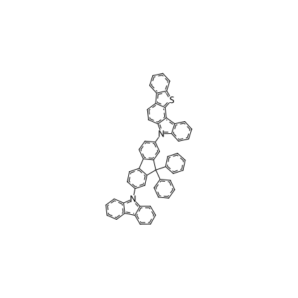 c1ccc(C2(c3ccccc3)c3cc(-n4c5ccccc5c5ccccc54)ccc3-c3ccc(-n4c5ccccc5c5c6sc7ccccc7c6ccc54)cc32)cc1